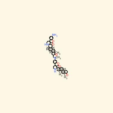 CN(CC1C[C@H]2[C@@H]3CC[C@H]4C[C@@]5(CC[C@]4(C)[C@H]3CC[C@]2(C)C1=O)NCCc1c5c(=O)oc2cc(N)ccc12)c1ccc2c3c(c(=O)oc2c1)[C@]1(CC[C@@]2(C)[C@@H](CC[C@@H]4[C@@H]2CC[C@]2(C)C(=O)CC[C@@H]42)C1)NCC3